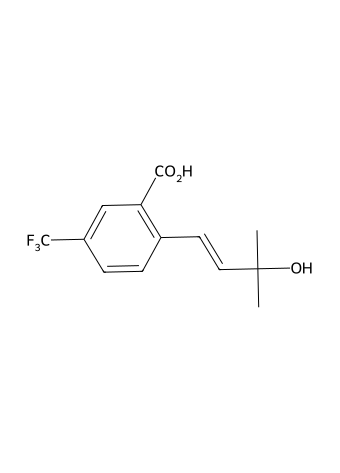 CC(C)(O)C=Cc1ccc(C(F)(F)F)cc1C(=O)O